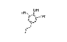 C=CCc1cc(CCC)c(O)c(CCC)c1